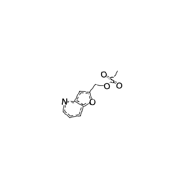 CS(=O)(=O)OCc1cc2ncccc2o1